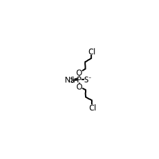 S=P([S-])(OCCCCl)OCCCCl.[Na+]